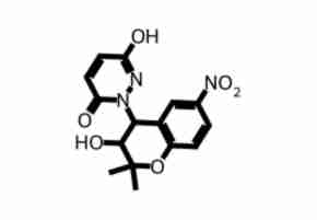 CC1(C)Oc2ccc([N+](=O)[O-])cc2C(n2nc(O)ccc2=O)C1O